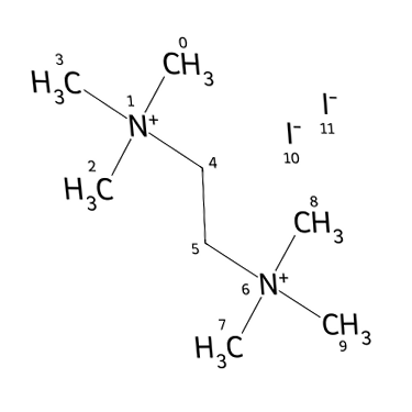 C[N+](C)(C)CC[N+](C)(C)C.[I-].[I-]